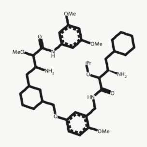 COc1cc(NC(=O)C(OC)C(N)CC2CCCC(COc3ccc(OC)c(CNC(=O)C(OC(C)C)[C@H](N)CC4CCCCC4)c3)C2)cc(OC)c1